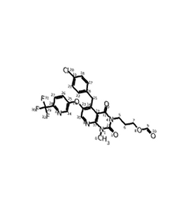 Cn1c(=O)n(CCCOC=O)c(=O)c2c(Cc3ccc(Cl)cc3)c(Oc3ccc(C(F)(F)F)nc3)cnc21